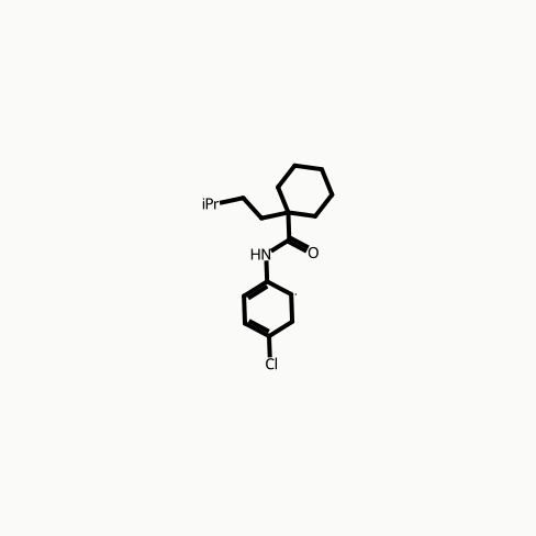 CC(C)CCC1(C(=O)NC2=CC=C(Cl)C[CH]2)CCCCC1